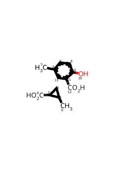 CC1CC1C(=O)O.Cc1ccc(O)c(C(=O)O)c1